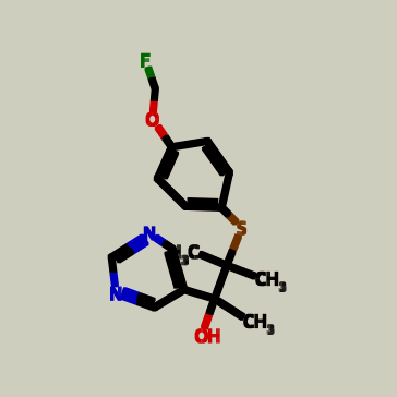 CC(C)(Sc1ccc(OCF)cc1)C(C)(O)c1cncnc1